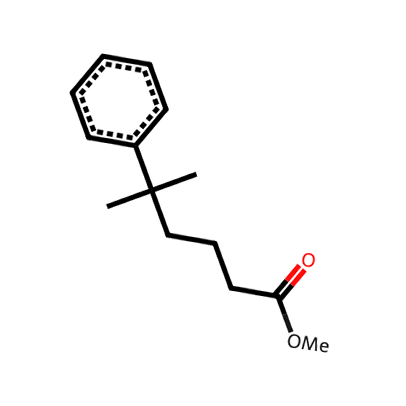 COC(=O)CCCC(C)(C)c1ccccc1